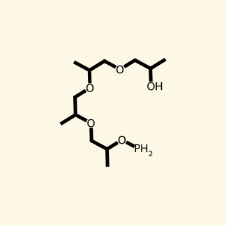 CC(O)COCC(C)OCC(C)OCC(C)OP